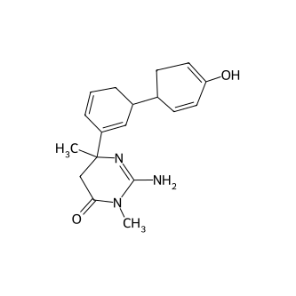 CN1C(=O)CC(C)(C2=CC(C3C=CC(O)=CC3)CC=C2)N=C1N